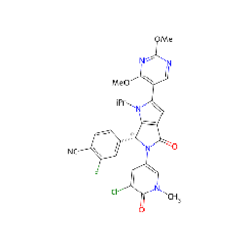 COc1ncc(-c2cc3c(n2C(C)C)[C@@H](c2ccc(C#N)c(F)c2)N(c2cc(Cl)c(=O)n(C)c2)C3=O)c(OC)n1